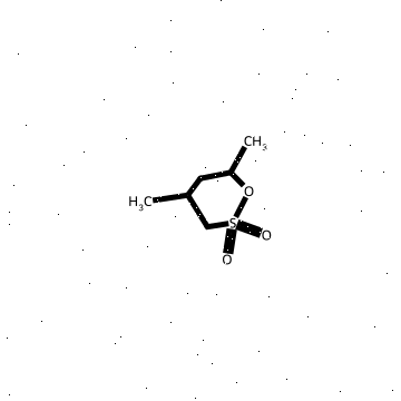 CC1CC(C)OS(=O)(=O)C1